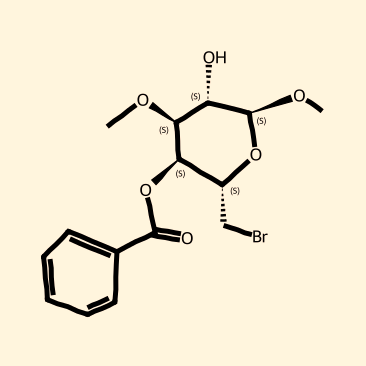 CO[C@H]1O[C@H](CBr)[C@@H](OC(=O)c2ccccc2)[C@@H](OC)[C@@H]1O